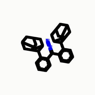 [N-]=[N+]=C(c1ccccc1C1C2CC3CC(C2)CC1C3)c1ccccc1C1C2CC3CC(C2)CC1C3